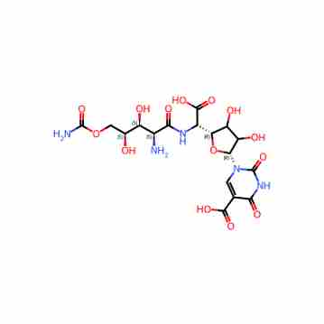 NC(=O)OC[C@H](O)[C@@H](O)[C@H](N)C(=O)NC(C(=O)O)[C@H]1O[C@@H](n2cc(C(=O)O)c(=O)[nH]c2=O)C(O)C1O